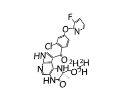 [2H]C([2H])([2H])OC[C@]1(C)Nc2c(cnc3[nH]cc(C(=O)c4ccc(Oc5ncccc5F)cc4Cl)c23)NC1=O